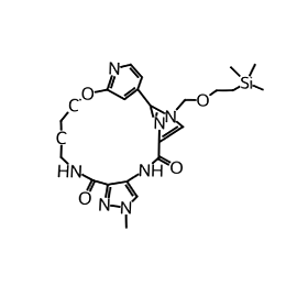 Cn1cc2c(n1)C(=O)NCCCCOc1cc(ccn1)-c1nc(cn1COCC[Si](C)(C)C)C(=O)N2